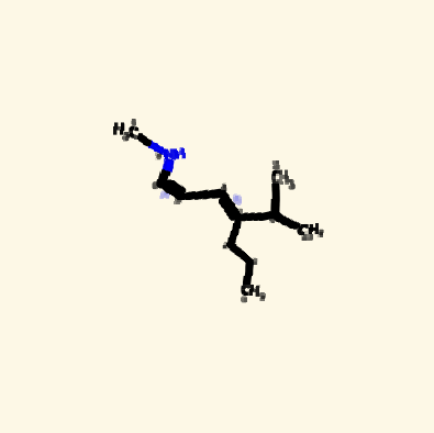 CCC/C(=C\C=C/NC)C(C)C